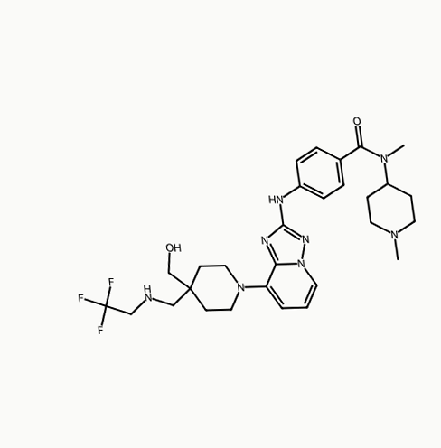 CN1CCC(N(C)C(=O)c2ccc(Nc3nc4c(N5CCC(CO)(CNCC(F)(F)F)CC5)cccn4n3)cc2)CC1